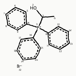 CC(O)[P+](c1ccccc1)(c1ccccc1)c1ccccc1.[Br-]